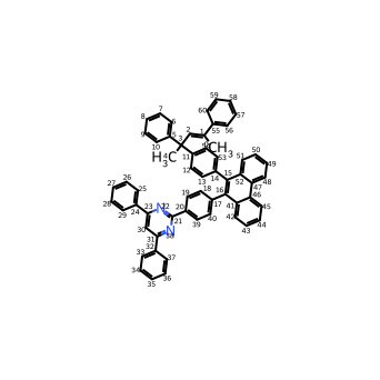 C/C(=C\C(C)(c1ccccc1)c1ccc(-c2c(-c3ccc(-c4nc(-c5ccccc5)cc(-c5ccccc5)n4)cc3)c3ccccc3c3ccccc23)cc1)c1ccccc1